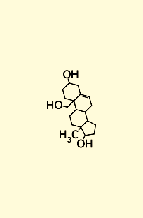 CC12CCC3C(CC=C4CC(O)CCC43CO)C1CCC2O